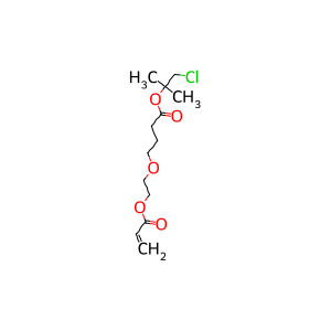 C=CC(=O)OCCOCCCC(=O)OC(C)(C)CCl